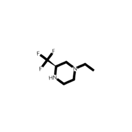 CCN1CCN[C@@H](C(F)(F)F)C1